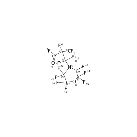 O=C(F)C(F)(C(F)(F)F)C(F)(F)N1C(F)(F)C(F)(F)OC(F)(F)C1(F)F